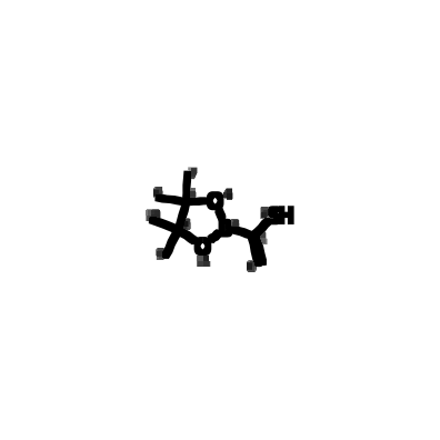 C=C(S)B1OC(C)(C)C(C)(C)O1